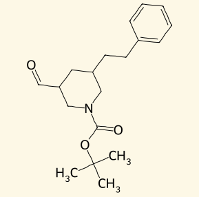 CC(C)(C)OC(=O)N1CC(C=O)CC(CCc2ccccc2)C1